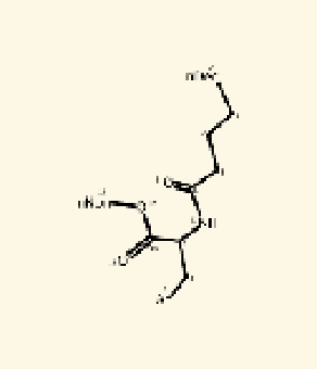 CCCCCCCCCCCCCC(=O)NC(CC(C)=O)C(=O)OCCCCCCCCC